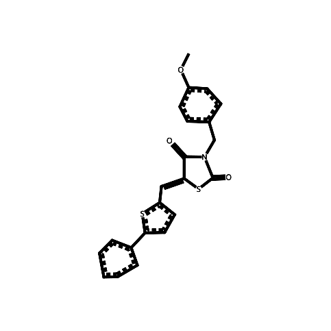 COc1ccc(CN2C(=O)S/C(=C\c3ccc(-c4ccccc4)s3)C2=O)cc1